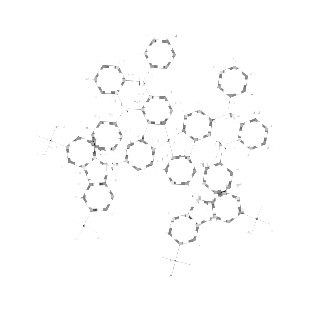 CC(C)(C)c1ccc2c(c1)c1cc(C(C)(C)C)ccc1n2-c1ccc2c(c1)-c1c(ccc3c1N(c1ccccc1)c1ccccc1B3c1ccccc1)C21c2ccc(-n3c4ccc(C(C)(C)C)cc4c4cc(C(C)(C)C)ccc43)cc2-c2c1ccc1c2N(c2ccccc2)c2ccccc2B1c1ccccc1